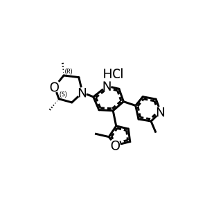 Cc1cc(-c2cnc(N3C[C@@H](C)O[C@@H](C)C3)cc2-c2ccoc2C)ccn1.Cl